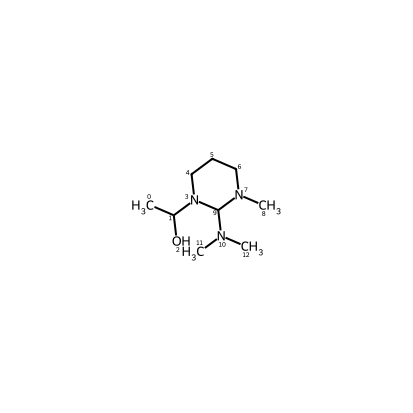 CC(O)N1CCCN(C)C1N(C)C